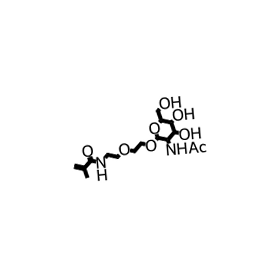 C=C(C)C(=O)NCCOCCOC1OC(CO)C(O)C(O)C1NC(C)=O